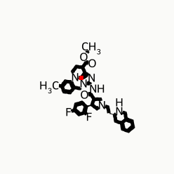 CCOC(=O)C1CCN(c2cc(C)ccc2Cn2ccnc2NC(=O)C2CN(CC[C@H]3Cc4ccccc4CN3)C[C@H]2c2ccc(F)cc2F)CC1